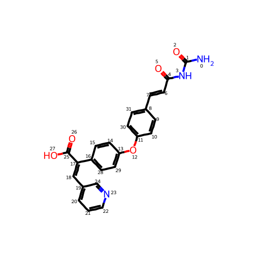 NC(=O)NC(=O)/C=C/c1ccc(Oc2ccc(/C(=C\c3cccnc3)C(=O)O)cc2)cc1